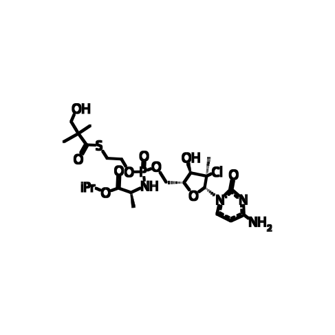 CC(C)OC(=O)[C@H](C)NP(=O)(OCCSC(=O)C(C)(C)CO)OC[C@H]1O[C@@H](n2ccc(N)nc2=O)[C@](C)(Cl)[C@@H]1O